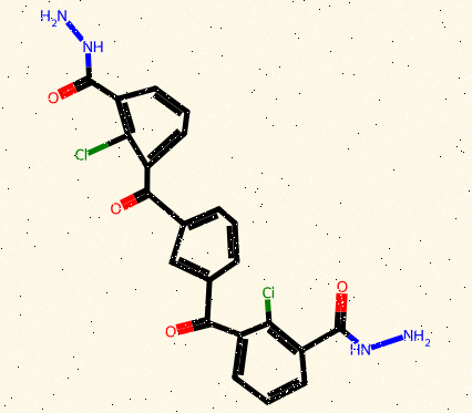 NNC(=O)c1cccc(C(=O)c2cccc(C(=O)c3cccc(C(=O)NN)c3Cl)c2)c1Cl